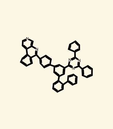 c1ccc(-c2nc(-c3ccccc3)nc(-c3cc(-c4ccc(-c5nc6cnccc6c6ccccc56)cc4)cc(-c4ccccc4-c4ccccc4)c3)n2)cc1